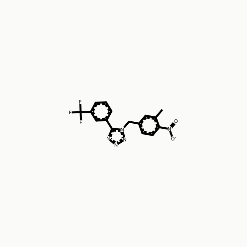 Cc1cc(Cn2nnnc2-c2cccc(C(F)(F)F)c2)ccc1[N+](=O)[O-]